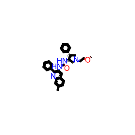 COCCN1C[C@@H](NC(=O)Nc2cc3ccc(C)cc3nc2-c2ccccc2)[C@H](c2ccccc2)C1